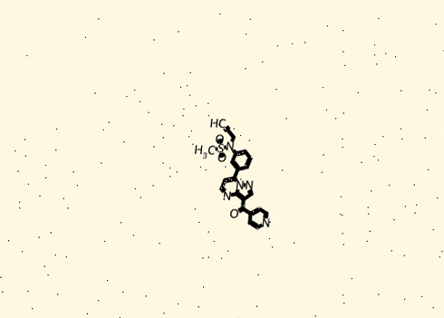 C#CCN(c1cccc(-c2ccnc3c(C(=O)c4ccncc4)cnn23)c1)S(C)(=O)=O